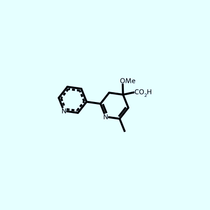 COC1(C(=O)O)C=C(C)N=C(c2cccnc2)C1